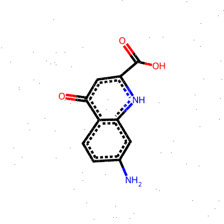 Nc1ccc2c(=O)cc(C(=O)O)[nH]c2c1